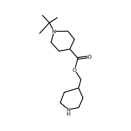 CC(C)(C)N1CCC(C(=O)OCC2CCNCC2)CC1